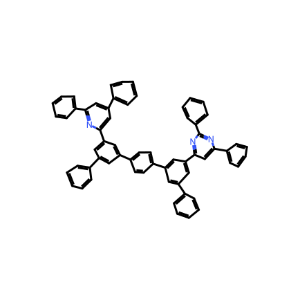 c1ccc(-c2cc(-c3ccc(-c4cc(-c5ccccc5)cc(-c5cc(-c6ccccc6)nc(-c6ccccc6)n5)c4)cc3)cc(-c3cc(-c4ccccc4)cc(-c4ccccc4)n3)c2)cc1